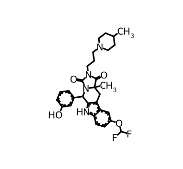 CC1CCN(CCCN2C(=O)N3C(c4cccc(O)c4)c4[nH]c5ccc(OC(F)F)cc5c4CC3(C)C2=O)CC1